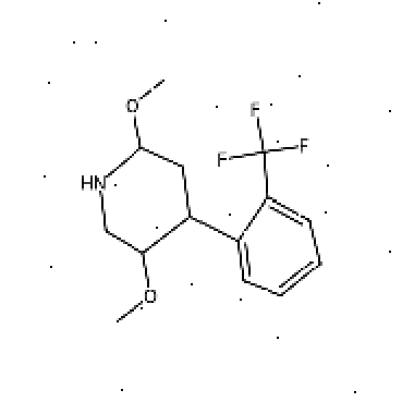 COC1CC(c2ccccc2C(F)(F)F)C(OC)CN1